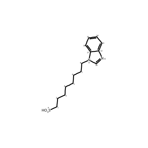 O=S(=O)(O)CCCCCCCCn1cnc2ccccc21